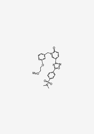 COCCOc1cccc(Cn2cc(-c3noc(-c4ccc(S(=O)(=O)N(C)C)cc4)n3)ccc2=O)c1